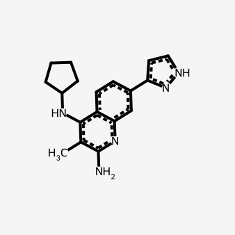 Cc1c(N)nc2cc(-c3cc[nH]n3)ccc2c1NC1CCCC1